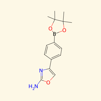 CC1(C)OB(c2ccc(-c3coc(N)n3)cc2)OC1(C)C